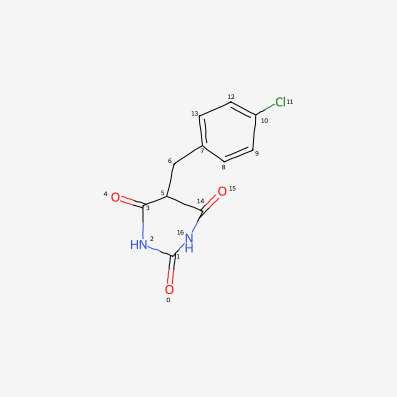 O=C1NC(=O)C(Cc2ccc(Cl)cc2)C(=O)N1